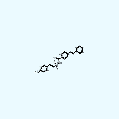 N=C(NS(=O)(=O)C=Cc1ccc([N+](=O)[O-])cc1)c1ccc(C=Cc2ccccc2)cc1